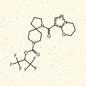 O=C(OC(C(F)(F)F)C(F)(F)F)N1CCC2(CCCN2C(=O)c2cnn3c2OCCC3)CC1